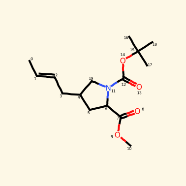 CC=CCC1CC(C(=O)OC)N(C(=O)OC(C)(C)C)C1